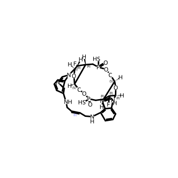 O=P1(S)C[C@H]2[C@@H](F)[C@H]3O[C@@H]2COP(=O)(S)C[C@H]2[C@@H](F)[C@@H](O[C@@H]2CO1)n1cnc2c(cccc21)NC/C=C/CNc1cccc2c1ncn23